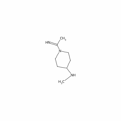 CNC1CCN(C(C)=N)CC1